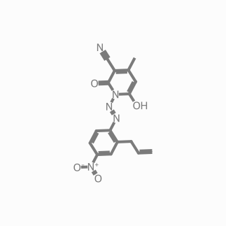 C=CCc1cc([N+](=O)[O-])ccc1N=Nn1c(O)cc(C)c(C#N)c1=O